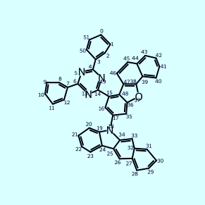 c1ccc(-c2nc(-c3ccccc3)nc(-c3cc(-n4c5ccccc5c5cc6ccccc6cc54)cc4oc5c6ccccc6ccc5c34)n2)cc1